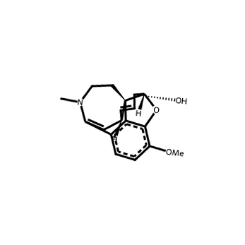 COc1ccc2c3c1O[C@H]1[C@@H](O)C=C[C@H]4C=C2N(C)CC[C@@]341